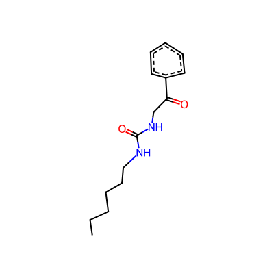 CCCCCCNC(=O)NCC(=O)c1ccccc1